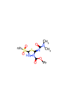 CCCS(=O)(=O)C1NN(C(=O)OC(C)C)C(=NC(=O)N(C)C)S1